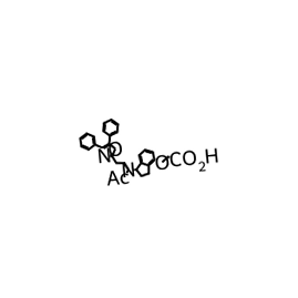 CC(=O)N(CCc1nc(-c2ccccc2)c(-c2ccccc2)o1)C1CCc2c(OCC(=O)O)cccc21